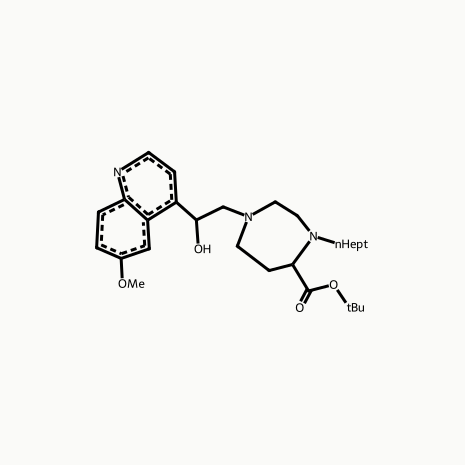 CCCCCCCN1CCN(CC(O)c2ccnc3ccc(OC)cc23)CCC1C(=O)OC(C)(C)C